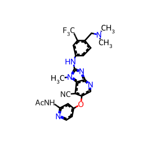 CC(=O)Nc1cc(Oc2cnc3nc(Nc4ccc(CN(C)C)c(C(F)(F)F)c4)n(C)c3c2C#N)ccn1